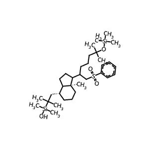 CC(C)(CCCC(CS(=O)(=O)c1ccccc1)C1CCC2[C@@H](CC(C)(C)[Si](C)(C)O)CCC[C@]12C)O[Si](C)(C)C